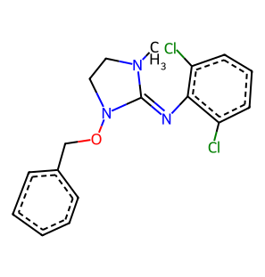 CN1CCN(OCc2ccccc2)C1=Nc1c(Cl)cccc1Cl